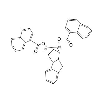 O=C(O[C@@H]1C2CC(C3c4ccccc4CC32)[C@@H]1OC(=O)c1cccc2ccccc12)c1cccc2ccccc12